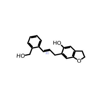 OCc1ccccc1/C=C/Cc1cc2c(cc1O)CCO2